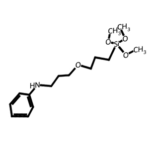 CO[Si](CCCOCCCNc1ccccc1)(OC)OC